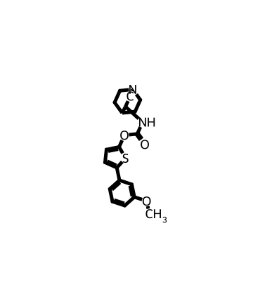 COc1cccc(-c2ccc(OC(=O)NC3CN4CCC3CC4)s2)c1